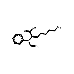 C=CN(C(=CCCCCC)C(=O)O)c1ccccc1